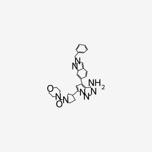 Nc1ncnn2c(C3CCN(C(=O)N4CCOCC4)C3)cc(-c3ccc4cn(Cc5ccccc5)nc4c3)c12